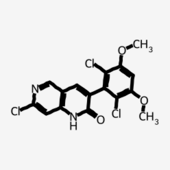 COc1cc(OC)c(Cl)c(-c2cc3cnc(Cl)cc3[nH]c2=O)c1Cl